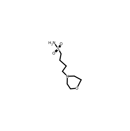 NS(=O)(=O)CCCCN1CCOCC1